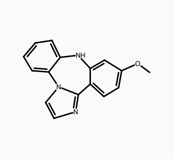 COc1ccc2c(c1)Nc1ccccc1-n1ccnc1-2